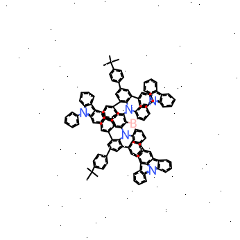 CC(C)(C)c1ccc(-c2cc(-c3ccccc3)c(N3c4cc(-c5cc6c7ccccc7n7c8ccccc8c(c5)c67)ccc4B4c5ccc(-n6c7ccccc7c7ccccc76)cc5N(c5c(-c6ccccc6)cc(-c6ccc(C(C)(C)C)cc6)cc5-c5ccccc5)c5cc(-c6ccc7c(c6)c6ccccc6n7-c6ccccc6)cc3c54)c(-c3ccccc3)c2)cc1